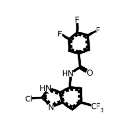 O=C(Nc1cc(C(F)(F)F)cc2nc(Cl)[nH]c12)c1cc(F)c(F)c(F)c1